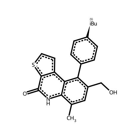 CC[C@H](C)c1ccc(-c2c(CO)cc(C)c3[nH]c(=O)c4sccc4c23)cc1